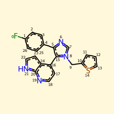 Fc1ccc(-c2ncn(Cc3cccs3)c2-c2ccnc3[nH]ccc23)cc1